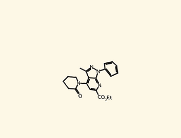 CCOC(=O)c1cc(N2CCCCC2=O)c2c(C)nn(-c3ccccc3)c2n1